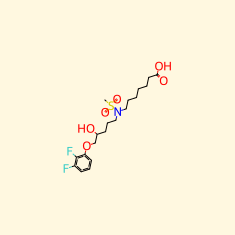 CS(=O)(=O)N(CCCCCCC(=O)O)CCCC(O)COc1cccc(F)c1F